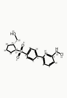 O=S(=O)(c1ccc(-c2cccc(NCl)n2)cc1)N1CCC[C@@H]1CO